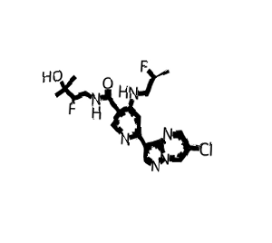 C[C@H](F)CNc1cc(-c2cnn3cc(Cl)cnc23)ncc1C(=O)NC[C@@H](F)C(C)(C)O